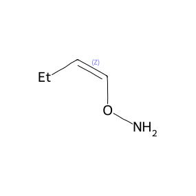 CC/C=C\ON